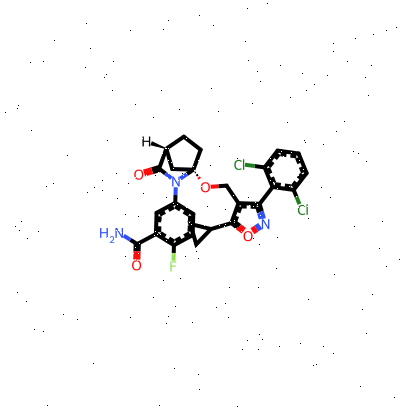 NC(=O)c1cc(N2C(=O)[C@@H]3CC[C@]2(OCc2c(-c4c(Cl)cccc4Cl)noc2C2CC2)C3)ccc1F